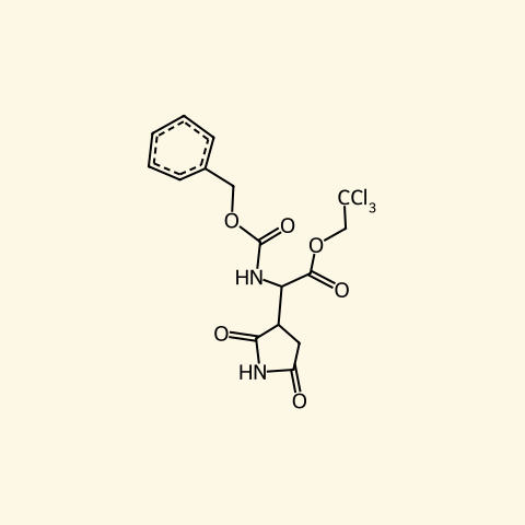 O=C1CC(C(NC(=O)OCc2ccccc2)C(=O)OCC(Cl)(Cl)Cl)C(=O)N1